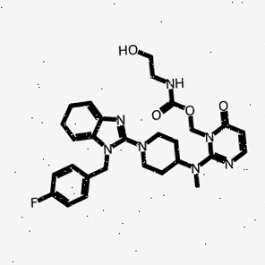 CN(c1nccc(=O)n1COC(=O)NCCO)C1CCN(c2nc3c(n2Cc2ccc(F)cc2)=CCCC=3)CC1